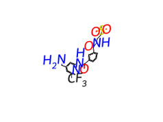 CS(=O)(=O)CCNC(=O)c1cccc(C(=O)Nc2cc(CN)cc(C(F)(F)F)n2)c1